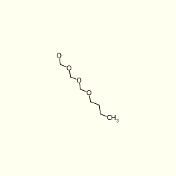 CCCCOCOCOC[O]